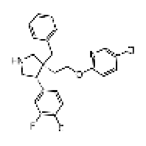 Fc1cc([C@@H]2CNC[C@@]2(CCOc2ccc(Cl)cn2)Cc2ccccc2)ccc1Cl